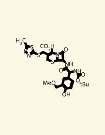 COCc1cc(C(NC(=O)OC(C)(C)C)C(=O)NC2C(=O)N3C(C(=O)O)=C(CSc4nnc(C)s4)CSC23)ccc1O